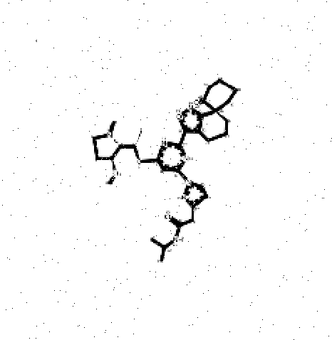 CO[C@H]1CCN(C)[C@@H]1[C@H](C)Oc1cc(-n2ccc(CC(=O)NC(C)C)n2)nc(-c2onc3c2CCC[C@@]32CCCCC2=O)n1